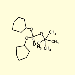 CP(C)(C)(C)OP(=O)(OC1CCCCC1)OC1CCCCC1